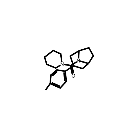 Cc1ccc(C2CC3CCC(C2)N3C(=O)N2CCCCC2)cc1